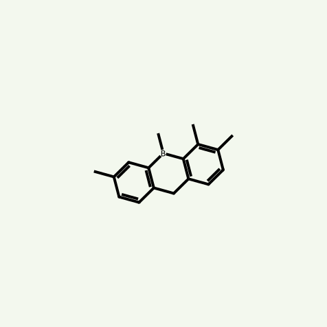 CB1c2cc(C)ccc2Cc2ccc(C)c(C)c21